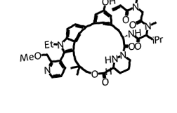 C=CC(=O)N(C)CC(=O)N(C)C(C(=O)N[C@H]1Cc2cc(O)cc(c2)-c2ccc3c(c2)c(c(-c2cccnc2COC)n3CC)CC(C)(C)COC(=O)[C@@H]2CCCN(N2)C1=O)C(C)C